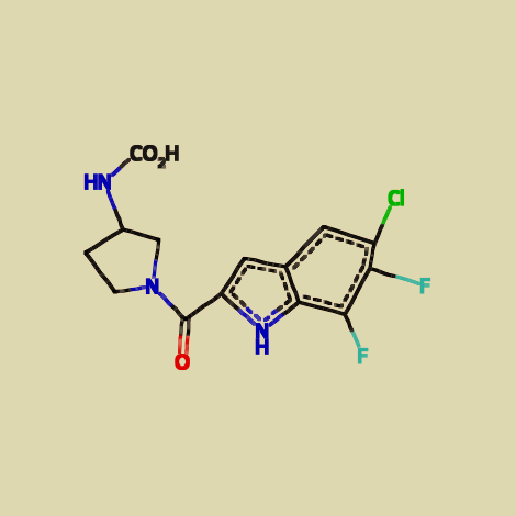 O=C(O)NC1CCN(C(=O)c2cc3cc(Cl)c(F)c(F)c3[nH]2)C1